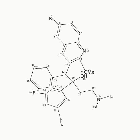 COc1nc2ccc(Br)cc2cc1C(c1ccccc1)C(O)(CCN(C)C)c1cc(F)cc(F)c1